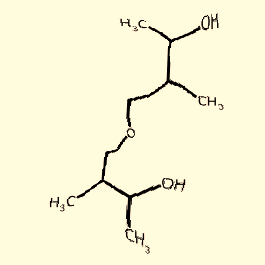 CC(O)C(C)COCC(C)C(C)O